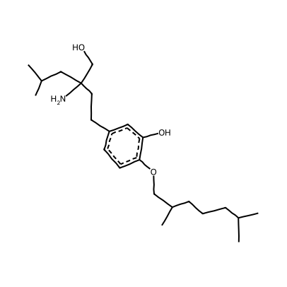 CC(C)CCCC(C)COc1ccc(CCC(N)(CO)CC(C)C)cc1O